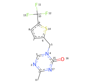 Cc1ncn(Cc2ccc(C(F)(F)F)s2)c(=O)n1